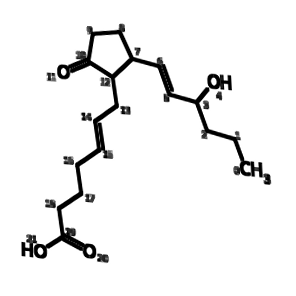 CCCC(O)/C=C/C1CCC(=O)C1C/C=C/CCCC(=O)O